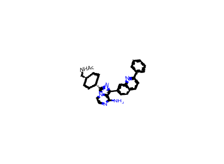 CC(=O)NC[C@H]1CC[C@H](c2nc(-c3ccc4ccc(-c5ccccc5)nc4c3)c3c(N)nccn32)CC1